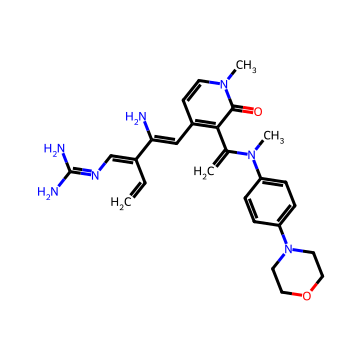 C=CC(=C\N=C(N)N)/C(N)=C/c1ccn(C)c(=O)c1C(=C)N(C)c1ccc(N2CCOCC2)cc1